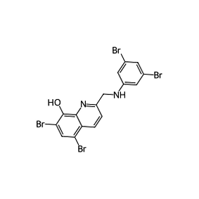 Oc1c(Br)cc(Br)c2ccc(CNc3cc(Br)cc(Br)c3)nc12